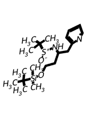 CC(C)(C)[S@@+]([O-])NC(CCO[Si](C)(C)C(C)(C)C)Cc1ccccn1